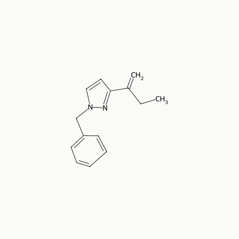 C=C(CC)c1ccn(Cc2ccccc2)n1